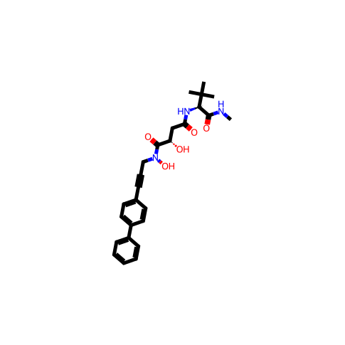 CNC(=O)[C@@H](NC(=O)C[C@H](O)C(=O)N(O)CC#Cc1ccc(-c2ccccc2)cc1)C(C)(C)C